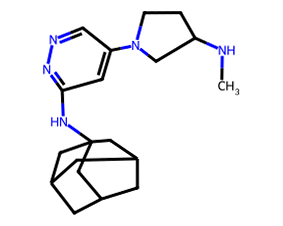 CNC1CCN(c2cnnc(NC34CC5CC(CC(C5)C3)C4)c2)C1